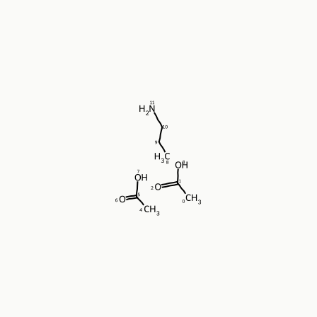 CC(=O)O.CC(=O)O.CCCN